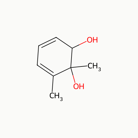 CC1=CC=CC(O)C1(C)O